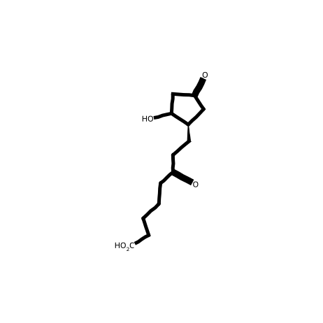 O=C(O)CCCCC(=O)CC[C@@H]1CC(=O)CC1O